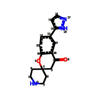 O=C1CC2(CCNCC2)Oc2ccc(-c3ccn[nH]3)cc21